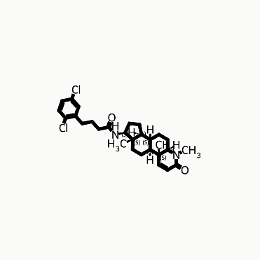 CN1C(=O)C=C[C@]2(C)[C@H]3CC[C@]4(C)[C@@H](NC(=O)CCCc5cc(Cl)ccc5Cl)CC[C@H]4[C@@H]3CC[C@@H]12